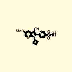 CCNS(=O)(=O)c1ccc(-c2c(C#N)c3cc(OC)cnc3n2C2CCC2)nc1